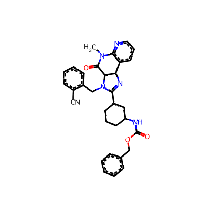 CN1C(=O)C2C(N=C(C3CCCC(NC(=O)OCc4ccccc4)C3)N2Cc2ccccc2C#N)c2cccnc21